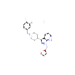 O=C(O)c1cc(CN2CCC(c3cn(Cc4ccco4)c4ncccc34)CC2)ccc1F